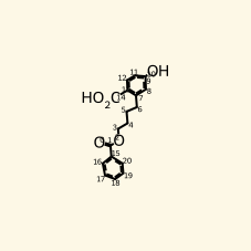 O=C(OCCCCc1cc(O)ccc1C(=O)O)c1ccccc1